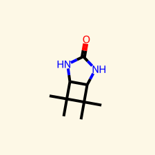 CC1(C)C2NC(=O)NC2C1(C)C